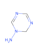 NN1C=NC=NC1